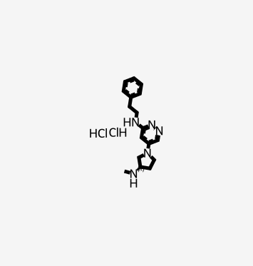 CN[C@@H]1CCN(c2cnnc(NCCc3ccccc3)c2)C1.Cl.Cl